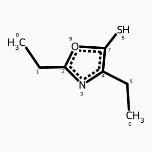 CCc1nc(CC)c(S)o1